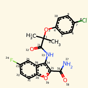 CC(C)(Oc1ccc(Cl)cc1)C(=O)Nc1c(C(N)=O)oc2ccc(F)cc12